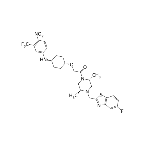 C[C@@H]1CN(Cc2nc3cc(F)ccc3s2)[C@@H](C)CN1C(=O)CO[C@H]1CC[C@H](Nc2ccc([N+](=O)[O-])c(C(F)(F)F)c2)CC1